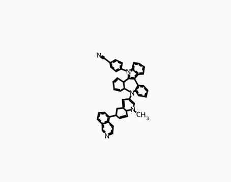 CN1C=C(N2c3ccccc3-c3c(n(-c4ccc(C#N)cc4)c4ccccc34)C3C=CC=CC32)C=C2CC(c3cccc4cnccc34)C=CC21